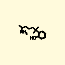 CC(N)CCCC(C)(C)c1ccccc1O